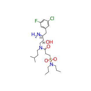 CCCN(CCC)S(=O)(=O)CCC(=O)N(CCC(C)C)C[C@@H](O)[C@@H](N)Cc1cc(F)cc(Cl)c1